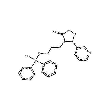 CC(C)(C)[Si](OCCCC1C(=O)COC1c1cccnc1)(c1ccccc1)c1ccccc1